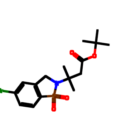 CC(C)(C)OC(=O)CC(C)(C)N1Cc2cc(Br)ccc2S1(=O)=O